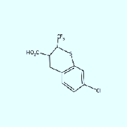 O=C(O)C1Cc2ccc(Cl)cc2SC1C(F)(F)F